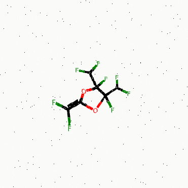 FC(F)=C1OC(F)(C(F)F)C(F)(C(F)F)O1